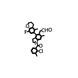 Cc1cccc(C(=O)N2CCc3c2cc(C)c(CC=O)c3-c2cc(F)c3c(c2C)CCCO3)c1Cl